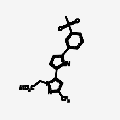 CCOC(=O)Cn1nc(C(F)(F)F)cc1-c1ccc(-c2cccc(S(C)(=O)=O)c2)[nH]1